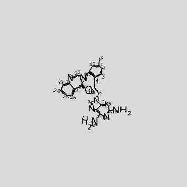 Cc1ccc(CCn2cnc3c(N)nc(N)nc32)c(-n2cnc3ccccc3c2=O)c1